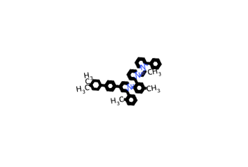 Cc1ccc(-[n+]2ccc(-c3ccc(C4CCC(C)(C)CC4)cc3)cc2-c2ccccc2C)c(-c2cccc[n+]2/C=C\[n+]2ccccc2-c2ccccc2C)c1